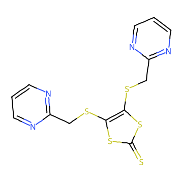 S=c1sc(SCc2ncccn2)c(SCc2ncccn2)s1